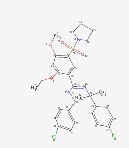 CCOc1cc(OC)c(S(=O)(=O)N2CCCC2)cc1/C(=N/C(C)(C)C1C=CC(Cl)=CC1)NCc1ccc(Cl)cc1